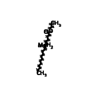 CCCCCCCCCCCCCCCCCC(=O)OCCCC.[MgH2]